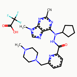 CN1CCN(Cc2cccc(C(=O)NN(c3nc(C#N)nc4c3ncn4C)C3CCCC3)n2)CC1.O=C(O)C(F)(F)F